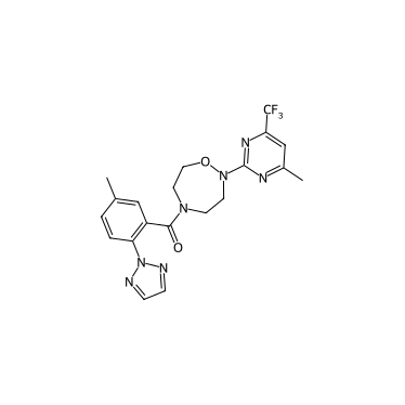 Cc1ccc(-n2nccn2)c(C(=O)N2CCON(c3nc(C)cc(C(F)(F)F)n3)CC2)c1